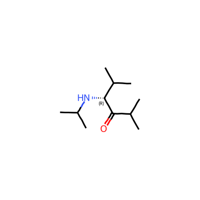 CC(C)N[C@@H](C(=O)C(C)C)C(C)C